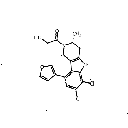 C[C@@H]1Cc2[nH]c3c(Cl)c(Cl)cc(-c4ccoc4)c3c2CN1C(=O)CO